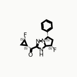 O=C(C1=NN2C(N1)[C@@H](F)C[C@H]2c1ccccc1)[C@@H]1C[C@@H]1F